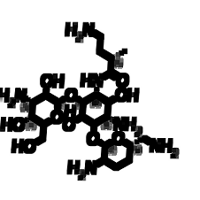 C[C@@H](CCN)C(=O)N[C@@H]1C(O)[C@H](N)C(O[C@H]2O[C@H](CN)CCC2N)C(O)[C@H]1O[C@H]1OC(CO)[C@H](O)[C@H](N)C1O